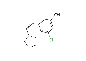 Cc1cc(Cl)cc(/C=C\C2CCCC2)c1